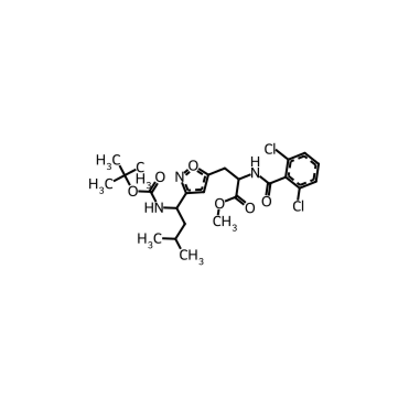 COC(=O)C(Cc1cc(C(CC(C)C)NC(=O)OC(C)(C)C)no1)NC(=O)c1c(Cl)cccc1Cl